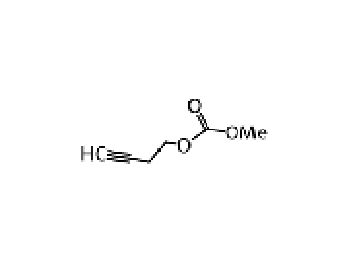 C#CCCOC(=O)O[CH2]